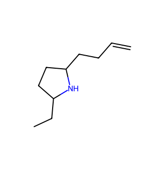 C=CCCC1CCC(CC)N1